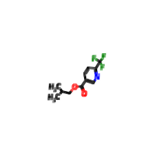 CC(C)COC(=O)c1ccc(C(F)(F)F)nc1